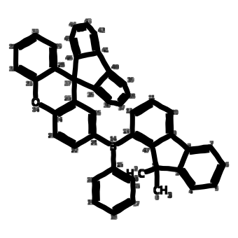 CC1(C)c2ccccc2-c2cccc(B(c3ccccc3)c3ccc4c(c3)C3(c5ccccc5O4)c4ccccc4-c4ccccc43)c21